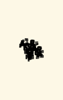 CC(C)[C@H](Oc1cccc(C(F)(F)F)c1)[C@H](C)OC(=O)[C@H](C)NC(=O)OC(C)(C)C